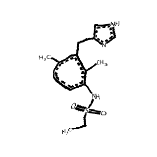 CCS(=O)(=O)Nc1ccc(C)c(Cc2c[nH]cn2)c1C